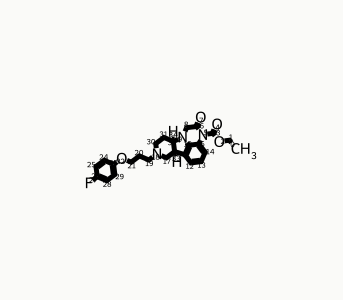 CCOC(=O)N1C(=O)CN2c3c(cccc31)[C@@H]1CN(CCCOc3ccc(F)cc3)CC[C@@H]12